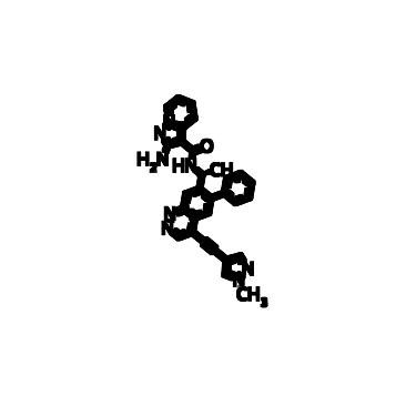 C[C@H](NC(=O)c1c(N)nn2ccccc12)c1cc2nncc(C#Cc3cnn(C)c3)c2cc1-c1ccccc1